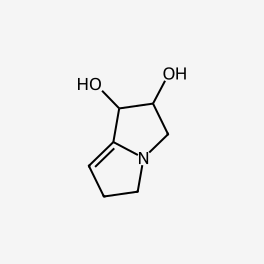 OC1CN2CCC=C2C1O